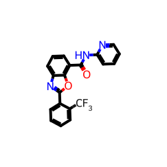 O=C(Nc1ccccn1)c1cccc2nc(-c3ccccc3C(F)(F)F)oc12